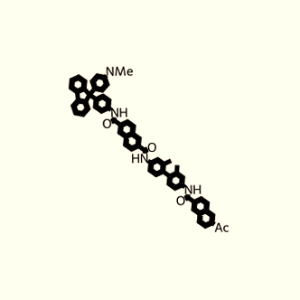 CNc1ccc(C2(c3ccc(NC(=O)c4ccc5cc(C(=O)Nc6ccc(-c7ccc(NC(=O)c8ccc9cc(C(C)=O)ccc9c8)cc7C)c(C)c6)ccc5c4)cc3)c3ccccc3-c3ccccc32)cc1